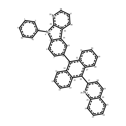 c1ccc(-n2c3ccc(-c4c5ccccc5c(-c5ccc6ccccc6n5)c5ccccc45)cc3c3cccnc32)cc1